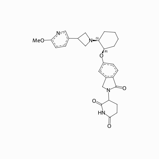 COc1ccc(C2CN([C@H]3CCCC[C@H]3Oc3ccc4c(c3)CN(C3CCC(=O)NC3=O)C4=O)C2)cn1